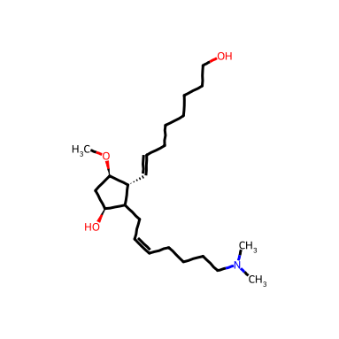 CO[C@@H]1C[C@H](O)C(C/C=C\CCCCN(C)C)[C@H]1/C=C/CCCCCCO